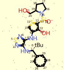 CC(C)(C)[C@@H](Nc1nsnc1Nc1csc([S+]([O-])N2CCCC2CO)c1O)c1ccccc1